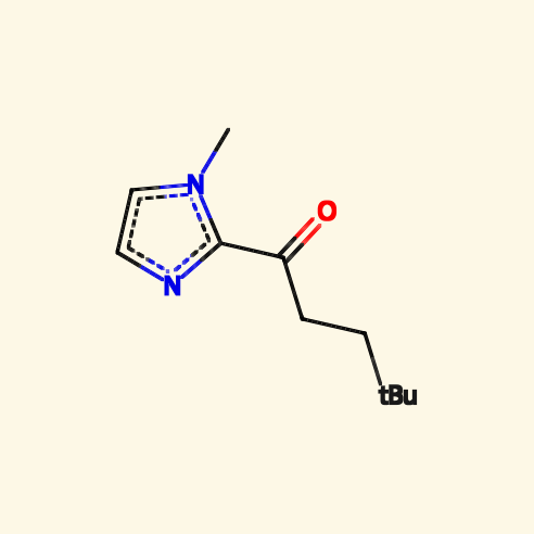 Cn1ccnc1C(=O)CCC(C)(C)C